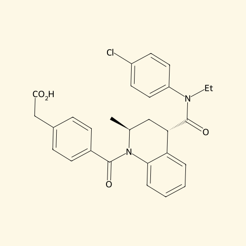 CCN(C(=O)[C@H]1C[C@H](C)N(C(=O)c2ccc(CC(=O)O)cc2)c2ccccc21)c1ccc(Cl)cc1